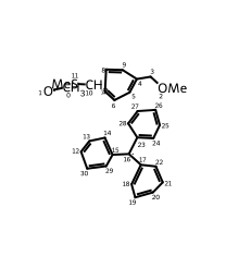 C[O].[CH2]OCc1ccccc1.[CH2]SC.c1ccc([C](c2ccccc2)c2ccccc2)cc1